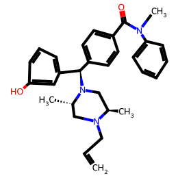 C=CCN1C[C@H](C)N([C@H](c2ccc(C(=O)N(C)c3ccccc3)cc2)c2cccc(O)c2)C[C@H]1C